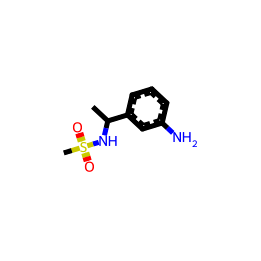 CC(NS(C)(=O)=O)c1cccc(N)c1